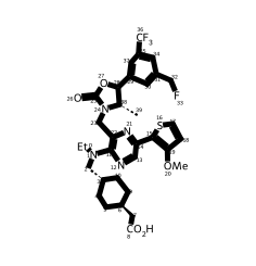 CCN(C[C@H]1CC[C@H](CC(=O)O)CC1)c1ncc(-c2sccc2OC)nc1CN1C(=O)OC(c2cc(CF)cc(C(F)(F)F)c2)[C@@H]1C